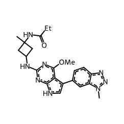 CCC(=O)NC1(C)CC(Nc2nc(OC)c3c(-c4ccc5nnn(C)c5c4)c[nH]c3n2)C1